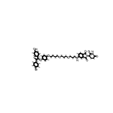 O=C1CCC(N2C(=O)c3ccc(NCCCOCCCOCCCCOc4ccc(Oc5c(-c6ccc(Br)cc6)sc6cc(O)ccc56)cc4)cc3C2=O)C(=O)N1